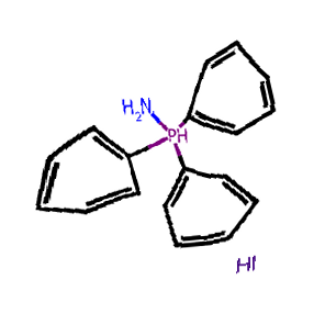 I.N[PH](c1ccccc1)(c1ccccc1)c1ccccc1